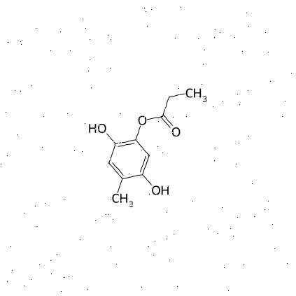 CCC(=O)Oc1cc(O)c(C)cc1O